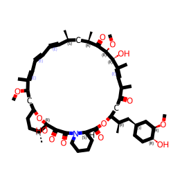 COC1CC2CC[C@@H](C)[C@@](O)(O2)C(=O)C(=O)N2CCCC[C@H]2C(=O)OC([C@H](C)C[C@@H]2CC[C@@H](O)[C@H](OC)C2)CC(=O)C(C)/C=C(\C)[C@@H](O)[C@@H](OC)C(=O)[C@H](C)C[C@H](C)/C=C/C=C/C=C/1C